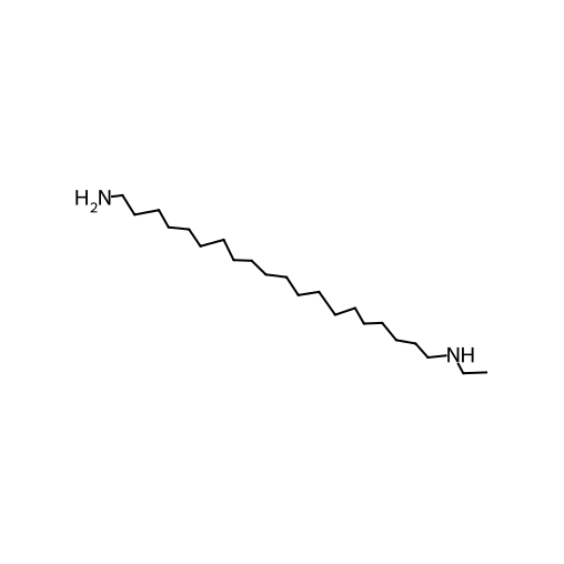 CCNCCCCCCCCCCCCCCCCCCCCN